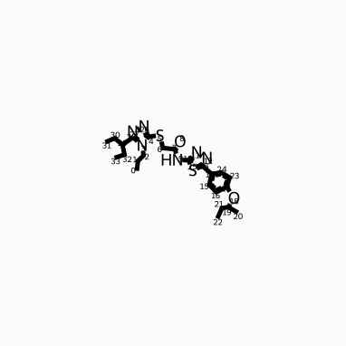 CCCn1c(SCC(=O)Nc2nnc(-c3ccc(OC(C)CC)cc3)s2)nnc1C(CC)CC